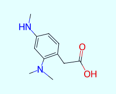 CNc1ccc(CC(=O)O)c(N(C)C)c1